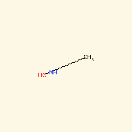 CCCCCCCCCCCCCCCCCCCC=CNCCCO